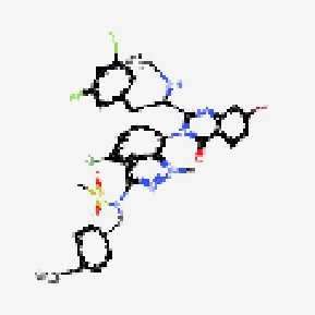 COc1ccc(CN(c2nn(C)c3c(-n4c(C(Cc5cc(F)cc(F)c5)NC(=O)O)nc5cc(Br)ccc5c4=O)ccc(Cl)c23)S(C)(=O)=O)cc1